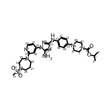 CC(C)OC(=O)N1CCN(c2ccc(Nc3nc(N)n(-c4ccnc(N5CCCN(S(C)(=O)=O)CC5)c4)n3)cc2)CC1